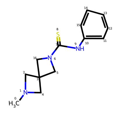 CN1CC2(C1)CN(C(=S)Nc1ccccc1)C2